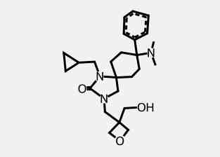 CN(C)C1(c2ccccc2)CCC2(CC1)CN(CC1(CO)COC1)C(=O)N2CC1CC1